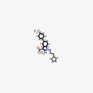 O=C(O)C(=O)c1cn(CCCC2CCCC2)c2ccc(-c3ccc(C(F)(F)F)cc3)cc12